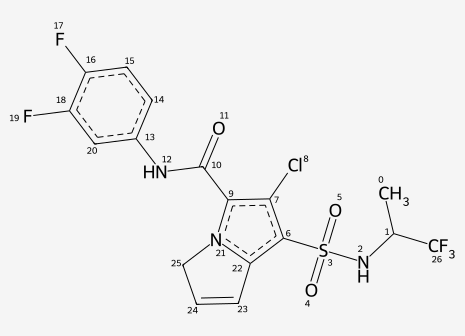 CC(NS(=O)(=O)c1c(Cl)c(C(=O)Nc2ccc(F)c(F)c2)n2c1C=CC2)C(F)(F)F